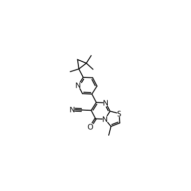 Cc1csc2nc(-c3ccc(C4(C)CC4(C)C)nc3)c(C#N)c(=O)n12